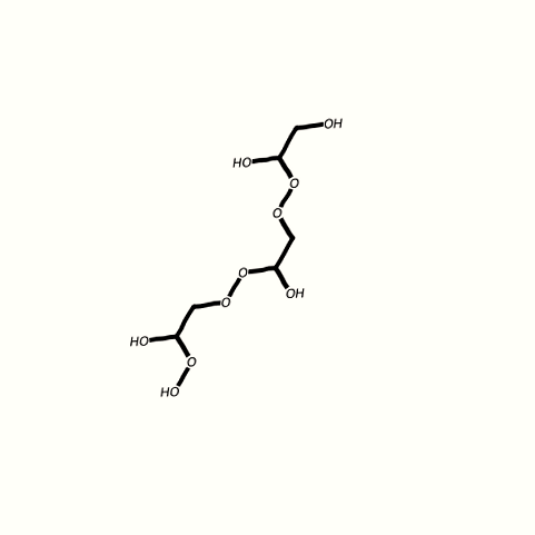 OCC(O)OOCC(O)OOCC(O)OO